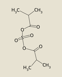 CC(C)C(=O)OS(=O)(=O)OC(=O)C(C)C